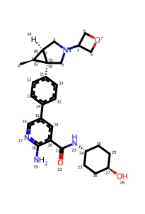 C[C@H]1[C@H]2CN(C3COC3)C[C@]21c1ccc(-c2cnc(N)c(C(=O)N[C@H]3CC[C@H](O)CC3)c2)cc1